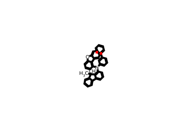 CC1(C)c2ccccc2-c2cccc(N(c3cccc(-c4ccccc4)c3)c3cccc4oc5ccccc5c34)c21